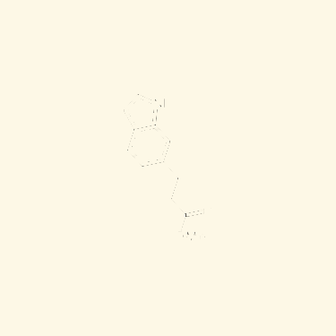 COC(=O)CCc1ccc2cc[nH]c2c1